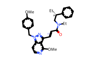 CC[C@@H](CN(CC)C(=O)/C=C/c1nn(Cc2ccc(OC)cc2)c2ccnc(OC)c12)c1ccccc1